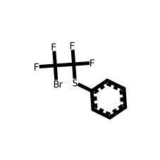 FC(F)(Br)C(F)(F)Sc1ccccc1